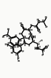 CC(=O)N[C@@H](C)[C@H](O)CN(c1cc(F)cc(F)c1)[C@]1(c2cccc(C(C)C)c2)CCN(CC(=O)OC(C)C)C(=O)C1